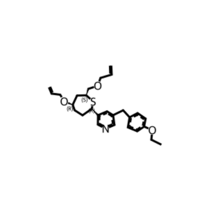 C=CCOC[C@@H]1C[C@H](OCC=C)CC[C@H](c2cncc(Cc3ccc(OCC)cc3)c2)S1